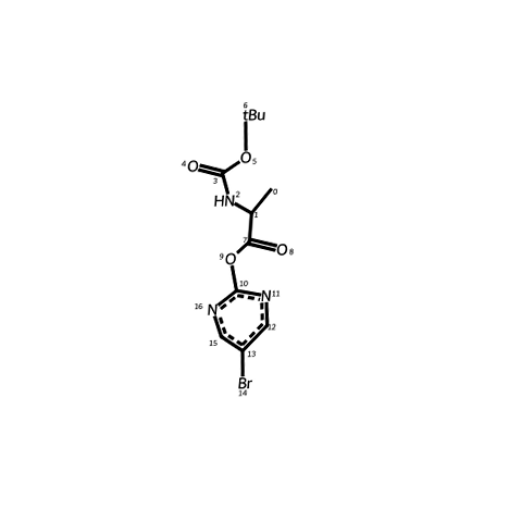 CC(NC(=O)OC(C)(C)C)C(=O)Oc1ncc(Br)cn1